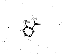 C=C(O)c1ccccc1NC